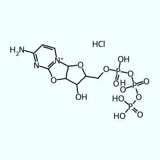 Cl.Nc1cc[n+]2c(n1)OC1C(O)C(COP(=O)(O)OP(=O)(O)OP(=O)(O)O)OC12